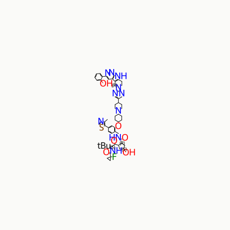 Cc1ncsc1-c1ccc(CNC(=O)[C@@H]2C[C@@H](O)CC2C(=O)[C@@H](NC(=O)C2(F)CC2)C(C)(C)C)c(OC2CCC(N3CCC(c4cnc(N5CCc6[nH]c7nnc(-c8ccccc8O)cc7c6[C@H]5C)nc4)CC3)CC2)c1